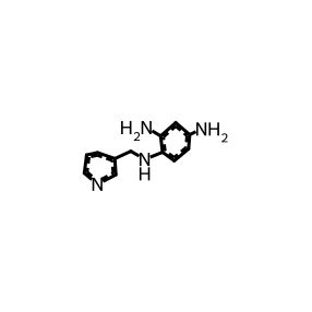 Nc1ccc(NCc2cccnc2)c(N)c1